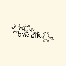 COc1ccccc1N1CCN(CC(O)CSc2ccc(C)cc2)CC1